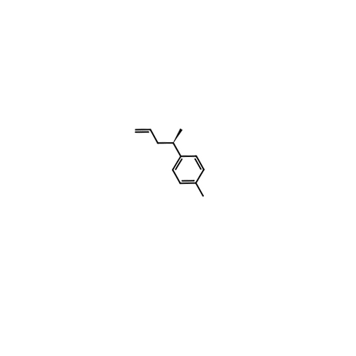 C=CC[C@@H](C)c1ccc(C)cc1